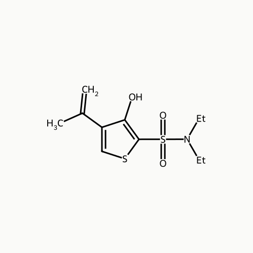 C=C(C)c1csc(S(=O)(=O)N(CC)CC)c1O